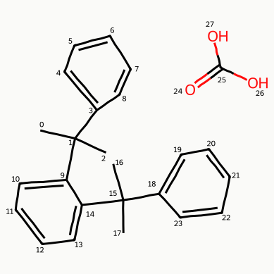 CC(C)(c1ccccc1)c1ccccc1C(C)(C)c1ccccc1.O=C(O)O